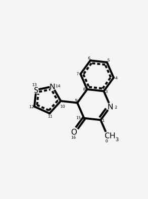 CC1=Nc2ccccc2C(c2ccsn2)C1=O